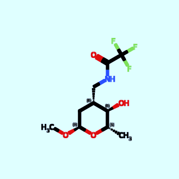 CO[C@H]1C[C@H](CNC(=O)C(F)(F)F)[C@@H](O)[C@H](C)O1